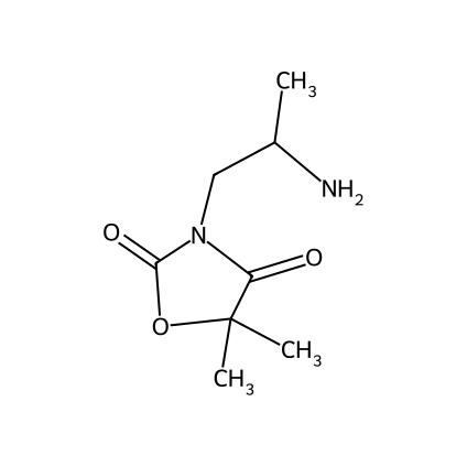 CC(N)CN1C(=O)OC(C)(C)C1=O